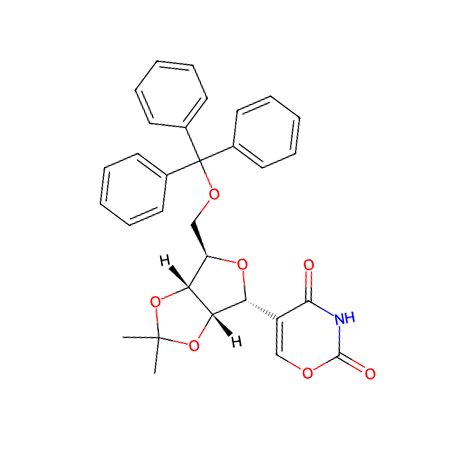 CC1(C)O[C@@H]2[C@H](O1)[C@@H](COC(c1ccccc1)(c1ccccc1)c1ccccc1)O[C@@H]2c1coc(=O)[nH]c1=O